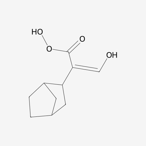 O=C(OO)C(=CO)C1CC2CCC1C2